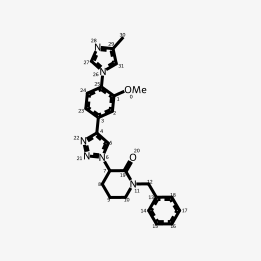 COc1cc(-c2cn(C3CCCN(Cc4ccccc4)C3=O)nn2)ccc1-n1cnc(C)c1